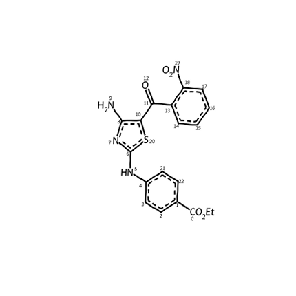 CCOC(=O)c1ccc(Nc2nc(N)c(C(=O)c3ccccc3[N+](=O)[O-])s2)cc1